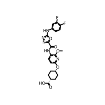 COc1nc(O[C@H]2CC[C@@H](C(=O)O)CC2)ccc1NC(=O)c1nnc(Nc2ccc(F)c(F)c2)o1